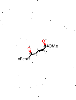 CCCCCC(=O)CC=CC(=O)OC